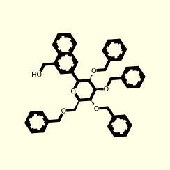 OCc1cc(C2O[C@H](COCc3ccccc3)[C@@H](OCc3ccccc3)[C@H](OCc3ccccc3)[C@H]2OCc2ccccc2)cc2ccccc12